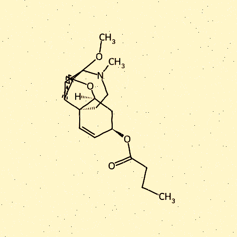 CCCC(=O)O[C@H]1C=C[C@@]23CCN(C)Cc4ccc(OC)c(c42)O[C@H]3C1